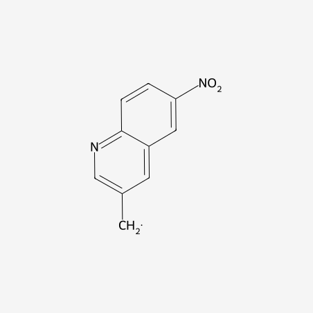 [CH2]c1cnc2ccc([N+](=O)[O-])cc2c1